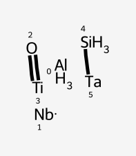 [AlH3].[Nb].[O]=[Ti].[SiH3][Ta]